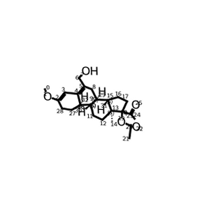 COC1=CC2=C(CO)C[C@@H]3[C@H](CC[C@@]4(C)[C@H]3CC[C@]4(OC(C)=O)C(C)=O)[C@H]2CC1